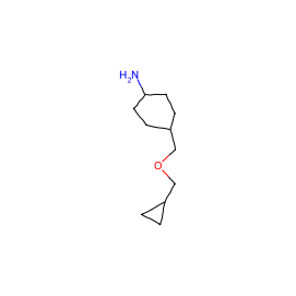 NC1CCC(COCC2CC2)CC1